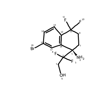 N[C@]1(C(F)(F)CO)CCC(F)(F)c2ccc(Br)cc21